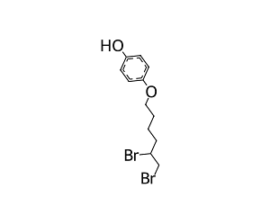 Oc1ccc(OCCCCC(Br)CBr)cc1